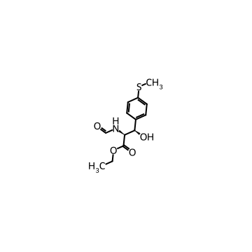 CCOC(=O)[C@@H](NC=O)[C@H](O)c1ccc(SC)cc1